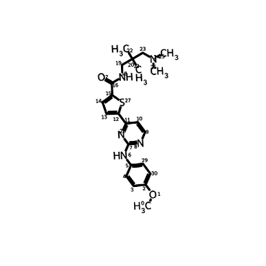 COc1ccc(Nc2nccc(-c3ccc(C(=O)NCC(C)(C)CN(C)C)s3)n2)cc1